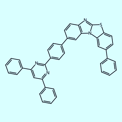 c1ccc(-c2ccc3sc4nc5ccc(-c6ccc(-c7nc(-c8ccccc8)cc(-c8ccccc8)n7)cc6)cc5n4c3c2)cc1